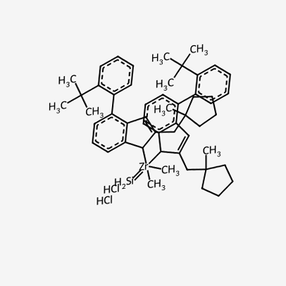 CC1(CC2=Cc3c(-c4ccccc4C(C)(C)C)cccc3[CH]2[Zr]([CH3])([CH3])(=[SiH2])[CH]2C(CC3(C)CCCC3)=Cc3c(-c4ccccc4C(C)(C)C)cccc32)CCCC1.Cl.Cl